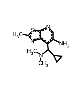 Cc1nc2c(C(C3CC3)N(C)C)c(N)cnc2s1